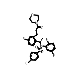 C[C@H](c1ccc(F)cc1CCC(=O)N1CCOCC1)N(c1cc(F)ccc1F)S(=O)(=O)c1ccc(Cl)cc1